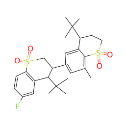 Cc1cc(C2CS(=O)(=O)c3ccc(F)cc3C2C(C)(C)C)cc2c1S(=O)(=O)CCC2C(C)(C)C